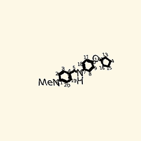 CNc1ccc(CNc2ccc(OC3CCCC3)cc2)cc1